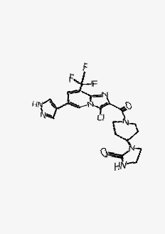 O=C(c1nc2c(C(F)(F)F)cc(-c3cn[nH]c3)cn2c1Cl)N1CCC(N2CCNC2=O)CC1